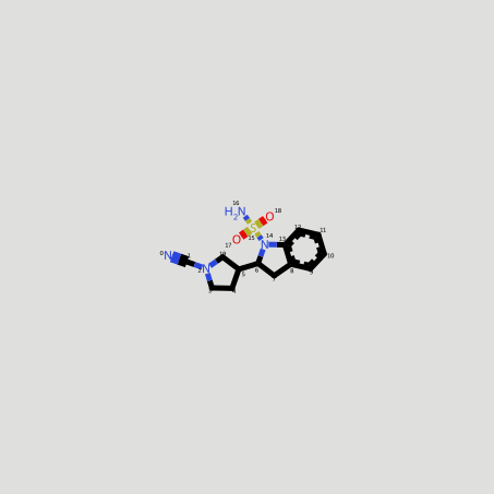 N#CN1CCC(C2Cc3ccccc3N2S(N)(=O)=O)C1